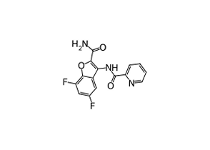 NC(=O)c1oc2c(F)cc(F)cc2c1NC(=O)c1ccccn1